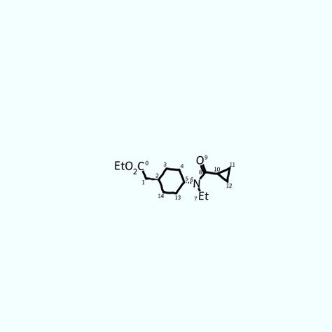 CCOC(=O)C[C@H]1CC[C@H](N(CC)C(=O)C2CC2)CC1